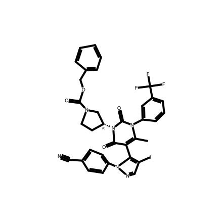 Cc1c(-c2c(I)cnn2-c2ccc(C#N)cc2)c(=O)n([C@@H]2CCN(C(=O)OCc3ccccc3)C2)c(=O)n1-c1cccc(C(F)(F)F)c1